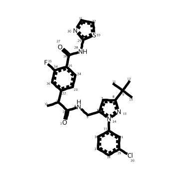 CC(C(=O)NCc1cc(C(C)(C)C)nn1-c1cccc(Cl)c1)c1ccc(C(=O)Nc2nccs2)c(F)c1